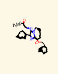 COC(=O)CNc1c(-c2ccccc2)nc2c(OCc3ccccc3)cccn12